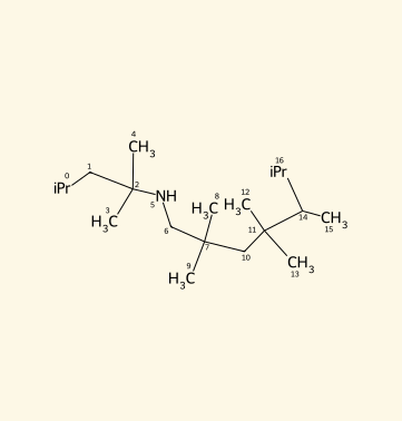 CC(C)CC(C)(C)NCC(C)(C)CC(C)(C)C(C)C(C)C